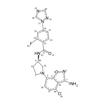 Nc1noc2c(N3CC[C@@H](NC(=O)c4ccc(-n5cncn5)cc4F)C3)ccc(Cl)c12